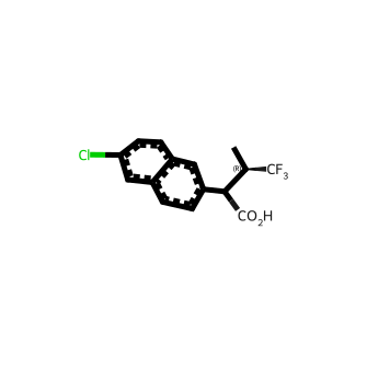 C[C@H](C(C(=O)O)c1ccc2cc(Cl)ccc2c1)C(F)(F)F